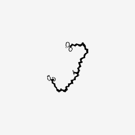 COC(=O)CCCC/C=C\C/C=C\CCCCCCCCC(I)CCCCCCCC/C=C\C/C=C\CCCCC(=O)OC